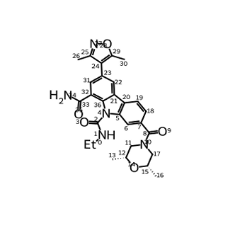 CCNC(=O)n1c2cc(C(=O)N3C[C@@H](C)O[C@@H](C)C3)ccc2c2cc(-c3c(C)noc3C)cc(C(N)=O)c21